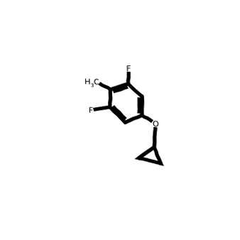 Cc1c(F)cc(OC2CC2)cc1F